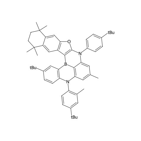 Cc1cc2c3c(c1)N(c1ccc(C(C)(C)C)cc1)c1oc4cc5c(cc4c1B3c1cc(C(C)(C)C)ccc1N2c1ccc(C(C)(C)C)cc1C)C(C)(C)CCC5(C)C